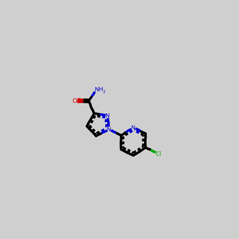 NC(=O)c1ccn(-c2ccc(Cl)cn2)n1